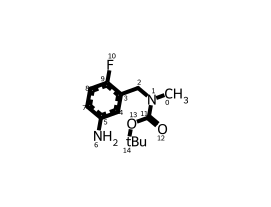 CN(Cc1cc(N)ccc1F)C(=O)OC(C)(C)C